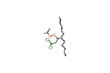 CCCCCCC(CCCCC)[C@@H](CC(Cl)Cl)SSC(C)C